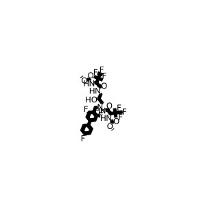 COC(=O)NC(C(=O)NC[C@@H](O)CN(Cc1c(F)cc(-c2ccc(F)cc2)cc1F)NC(=O)[C@@H](NC(=O)OC)C(C)(C)C(F)(F)F)C(C)(C)C(F)(F)F